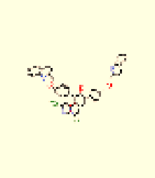 O=C(C(Cc1ccnc(Cl)c1)c1ccc(OCc2ccc3ccccc3n2)cc1)C(Cc1ccnc(Cl)c1)c1ccc(OCc2ccc3ccccc3n2)cc1